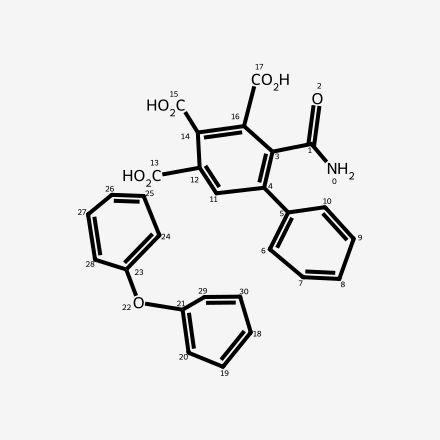 NC(=O)c1c(-c2ccccc2)cc(C(=O)O)c(C(=O)O)c1C(=O)O.c1ccc(Oc2ccccc2)cc1